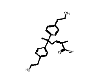 CC(=CCC(C)(c1ccc(CCO)cc1)c1ccc(CCO)cc1)C(=O)O